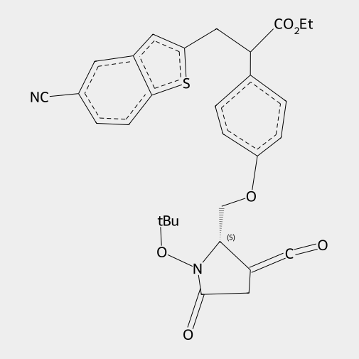 CCOC(=O)C(Cc1cc2cc(C#N)ccc2s1)c1ccc(OC[C@@H]2C(=C=O)CC(=O)N2OC(C)(C)C)cc1